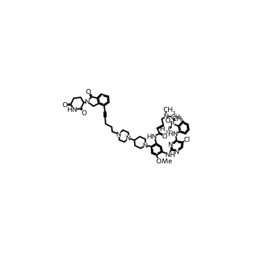 COc1cc(N2CCC(N3CCN(CCCC#Cc4cccc5c4CN(C4CCC(=O)NC4=O)C5=O)CC3)CC2)c(NC(=O)C=CCN(C)C)cc1Nc1ncc(Cl)c(Nc2ccccc2P(C)(C)=O)n1